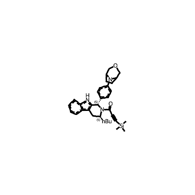 CCCC[C@H]1Cc2c([nH]c3ccccc23)[C@H](c2ccc(N3C4CCC3COC4)cc2)N1C(=O)C#C[Si](C)(C)C